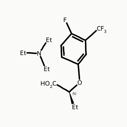 CCN(CC)CC.CC[C@H](Oc1ccc(F)c(C(F)(F)F)c1)C(=O)O